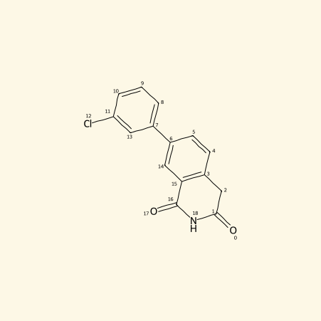 O=C1Cc2ccc(-c3cccc(Cl)c3)cc2C(=O)N1